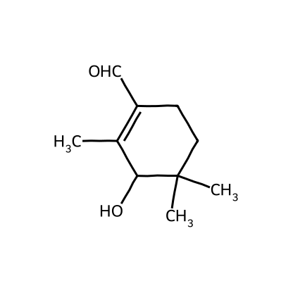 CC1=C(C=O)CCC(C)(C)C1O